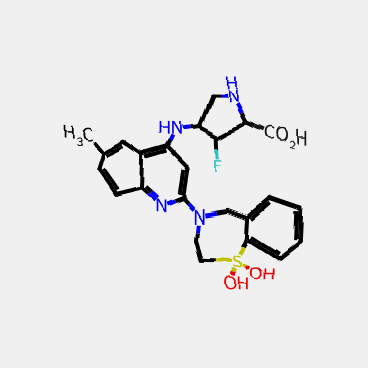 Cc1ccc2nc(N3CCS(O)(O)c4ccccc4C3)cc(NC3CNC(C(=O)O)C3F)c2c1